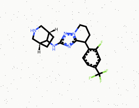 Fc1cc(C(F)(F)F)ccc1C1CCCn2nc(NC3[C@@H]4CC[C@H]3CNC4)nc21